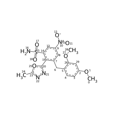 COc1ccc(Cc2cc([N+](=O)[O-])cc(S(N)(=O)=O)c2-c2nnc(C)o2)c(OC)c1